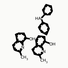 Cc1ccc2cccc(O)c2n1.Cc1ccc2cccc(O)c2n1.c1cc[c]([AlH][c]2ccccc2)cc1